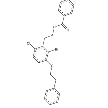 O=C(OCCc1c(Cl)ccc(OCCc2ccccc2)c1Br)c1ccccc1